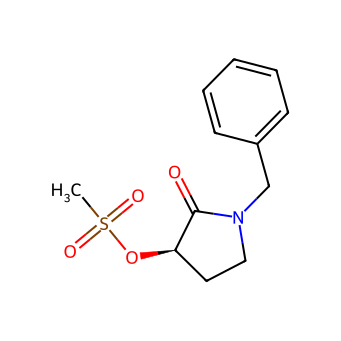 CS(=O)(=O)O[C@@H]1CCN(Cc2ccccc2)C1=O